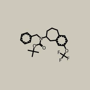 CC(C)(C)OC(=O)N(Cc1ccccc1)C1CCCc2ccc(OC(F)(F)F)cc2C1